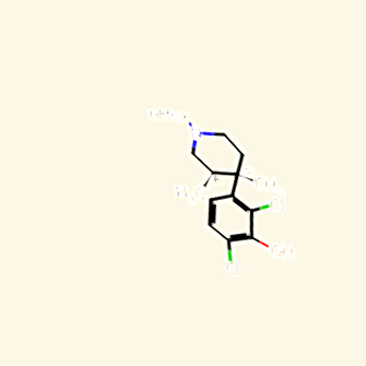 CCCCCCN1CC[C@](C)(c2ccc(Cl)c(O)c2Cl)[C@@H](C)C1